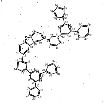 C1=CC(c2ccc3sc4ccc(-c5cccc(-c6cc(-c7ccccc7)nc(-c7ccccc7)n6)c5)cc4c3c2)CC(c2cc(-c3ccccc3)nc(-c3ccccc3)n2)=C1